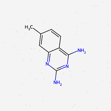 Cc1ccc2c(N)nc(N)nc2c1